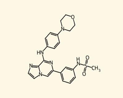 CS(=O)(=O)Nc1cccc(-c2cn3ccnc3c(Nc3ccc(N4CCOCC4)cc3)n2)c1